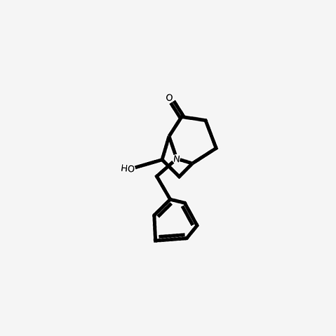 O=C1CCC2CC(O)C1N2Cc1ccccc1